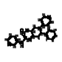 O=C(N=C1CC(c2ccccc2)N(c2ccncc2)CC1[N+](=O)[O-])Nc1cccnc1